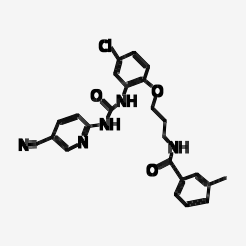 Cc1cccc(C(=O)NCCCOc2ccc(Cl)cc2NC(=O)Nc2ccc(C#N)cn2)c1